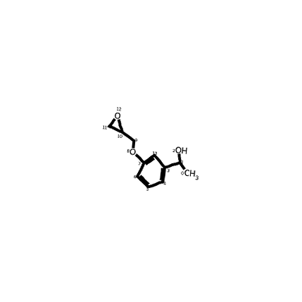 CC(O)c1cccc(OCC2CO2)c1